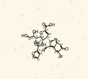 N#Cc1c2cc(Br)c(Cl)cc2nn1[C@H]1C=C(C(=O)O)O[C@@H]([C@H](O)[C@H](O)CO)[C@@H]1NC(=O)c1ccno1